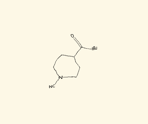 CC(C)(C)C(=O)C1CCN(C#N)CC1